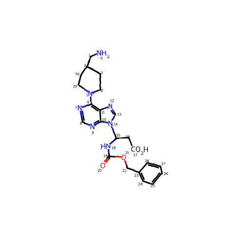 NCC1CCN(c2ncnc3c2ncn3C(CC(=O)O)NC(=O)OCc2ccccc2)CC1